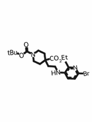 CCOC(=O)C1(CCNc2ccc(Br)nc2C)CCN(C(=O)OC(C)(C)C)CC1